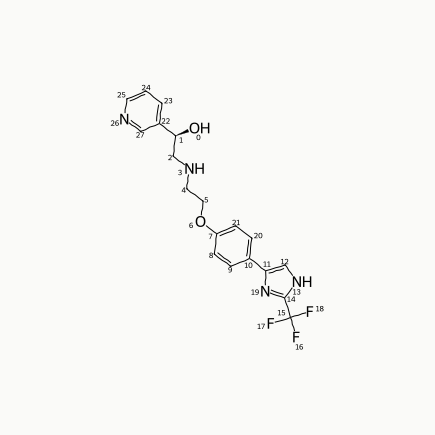 O[C@@H](CNCCOc1ccc(-c2c[nH]c(C(F)(F)F)n2)cc1)c1cccnc1